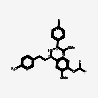 CNC(=O)[C@H](N[C@H](CCc1ccc(C(F)(F)F)nc1)c1ccc(OC(F)F)c(OC)c1)c1ccc(F)cc1